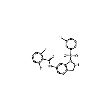 O=C(Nc1ccc2c(c1)N(S(=O)(=O)c1cccc(Cl)c1)NC2)c1c(F)cccc1F